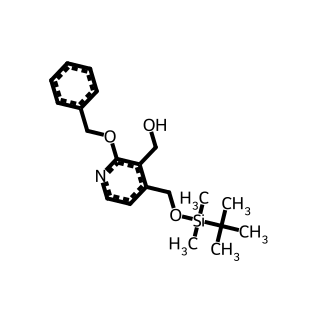 CC(C)(C)[Si](C)(C)OCc1ccnc(OCc2ccccc2)c1CO